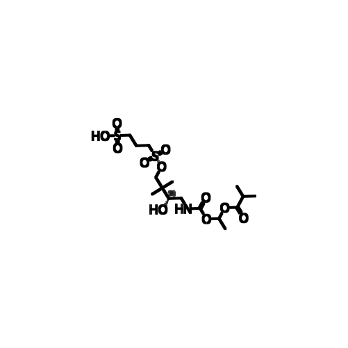 CC(OC(=O)NC[C@H](O)C(C)(C)COS(=O)(=O)CCCS(=O)(=O)O)OC(=O)C(C)C